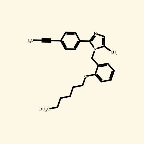 CC#Cc1ccc(-c2ncc(C)n2Cc2ccccc2OCCCCCC(=O)OCC)cc1